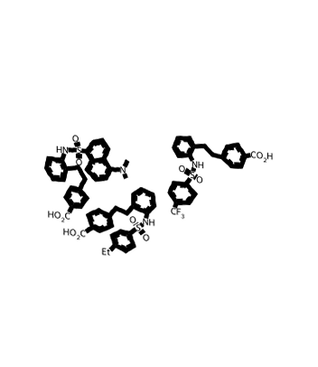 CCc1ccc(S(=O)(=O)Nc2ccccc2CCc2ccc(C(=O)O)cc2)cc1.CN(C)c1cccc2c(S(=O)(=O)Nc3ccccc3CCc3ccc(C(=O)O)cc3)cccc12.O=C(O)c1ccc(CCc2ccccc2NS(=O)(=O)c2ccc(C(F)(F)F)cc2)cc1